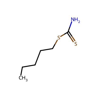 CCCCCSC(N)=S